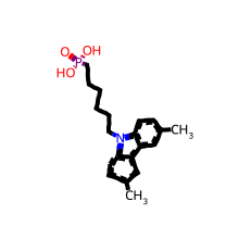 Cc1ccc2c(c1)c1cc(C)ccc1n2CCCCCCP(=O)(O)O